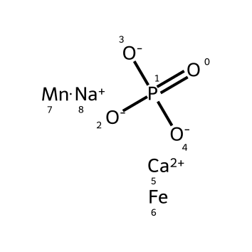 O=P([O-])([O-])[O-].[Ca+2].[Fe].[Mn].[Na+]